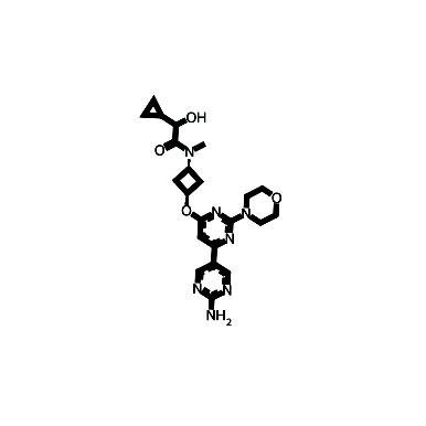 CN(C(=O)C(O)C1CC1)[C@H]1C[C@H](Oc2cc(-c3cnc(N)nc3)nc(N3CCOCC3)n2)C1